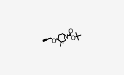 C#CCO[C@@H]1CCN(C(=O)OC(C)(C)C)C[C@H]1C